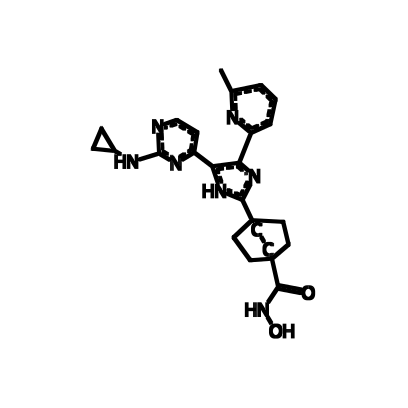 Cc1cccc(-c2nc(C34CCC(C(=O)NO)(CC3)CC4)[nH]c2-c2ccnc(NC3CC3)n2)n1